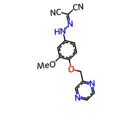 COc1cc(NN=C(C#N)C#N)ccc1OCc1cnccn1